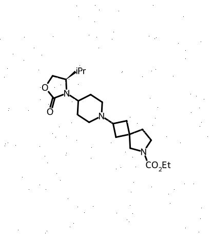 CCOC(=O)N1CCC2(CC(N3CCC(N4C(=O)OC[C@H]4C(C)C)CC3)C2)C1